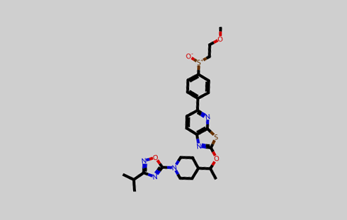 COCC[S+]([O-])c1ccc(-c2ccc3nc(OC(C)C4CCN(c5nc(C(C)C)no5)CC4)sc3n2)cc1